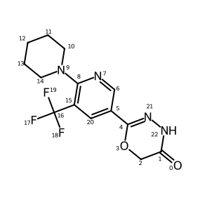 O=C1COC(c2cnc(N3CCCCC3)c(C(F)(F)F)c2)=NN1